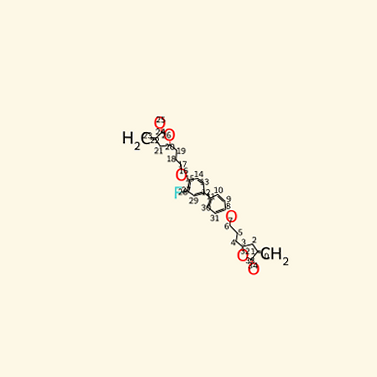 C=C1CC(CCCOc2ccc(-c3ccc(OCCCC4CC(=C)C(=O)O4)c(F)c3)cc2)OC1=O